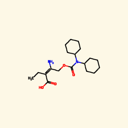 CCC(C(=O)O)=C(N)COC(=O)N(C1CCCCC1)C1CCCCC1